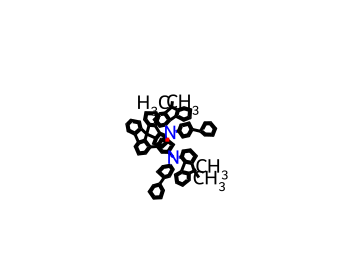 CC1(C)c2ccccc2-c2c(N(c3ccc(-c4ccccc4)cc3)c3cc(-c4cccc5c4C4(c6ccccc6-c6ccccc64)c4ccccc4-5)cc(N(c4ccc(-c5ccccc5)cc4)c4cccc5c4-c4ccccc4C5(C)C)c3)cccc21